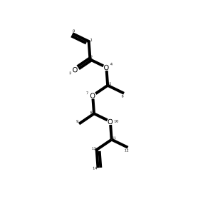 C=CC(=O)OC(C)OC(C)OC(C)C=C